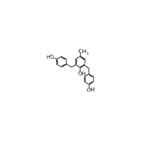 Cc1cc(Cc2ccc(O)cc2)c(O)c(Cc2ccc(O)cc2)c1